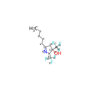 CCCCCC1=NC(C(F)(F)F)C(O)(C(F)(F)F)C1